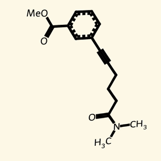 COC(=O)c1cccc(C#CCCCC(=O)N(C)C)c1